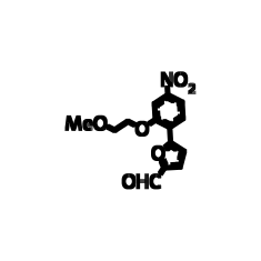 COCCOc1cc([N+](=O)[O-])ccc1-c1ccc(C=O)o1